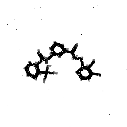 Cc1cccc(CNC(=O)c2cccc(NC(=O)c3ccccc3C(F)(F)F)c2)c1C